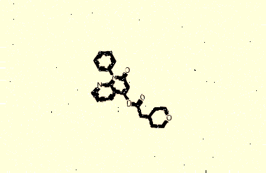 O=C(CC1CCOCC1)Oc1cc(=O)n(-c2ccccc2)c2ncccc12